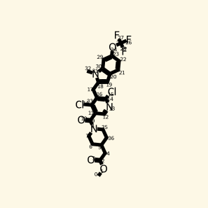 COC(=O)CC1CCN(C(=O)c2cnc(Cl)c(Cc3cc4ccc(OC(F)(F)F)cc4n3C)c2Cl)CC1